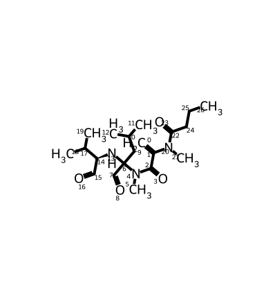 C=C(C(=O)N(C)C(C=O)(CC(C)C)N[C@@H](C=O)C(C)C)N(C)C(=O)CCC